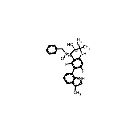 Cc1c[nH]c2c(-c3c(F)cc4c(c3F)[C@@H](N(Cl)Cc3ccccc3)[C@H](O)C(C)(C)N4)cccc12